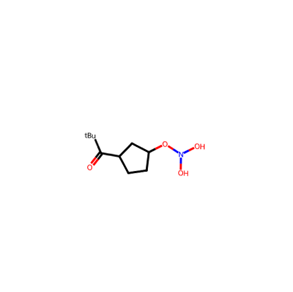 CC(C)(C)C(=O)C1CCC(ON(O)O)C1